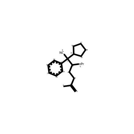 C=C(C)CCC(CCC)C(C#N)(c1ccccc1)C1CCCC1